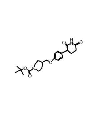 CC(C)(C)OC(=O)N1CCC(COc2ccc(C3CCC(=O)NC3=O)cc2)CC1